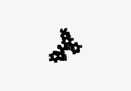 CC1(C)Cc2cc(NC(=O)c3c[nH]c4cccnc34)c(N3CCOCC3)cc2O1